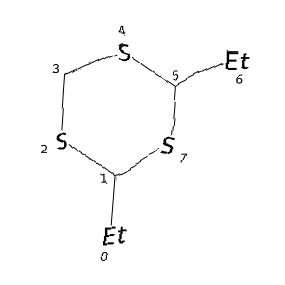 CCC1SCSC(CC)S1